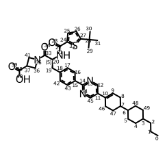 CCCC1CCC(C2CC=C(c3cnc(-c4ccc(C[C@H](NC(=O)c5ccc(C(C)(C)C)s5)C(=O)N5CC(C(=O)O)C5)cc4)nc3)CC2)CC1